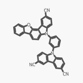 N#Cc1ccc2c(c1)c1cc(C#N)ccc1n2-c1cccc(-n2c3ccc(C#N)cc3c3c4oc5ccccc5c4ccc32)c1